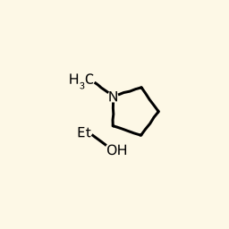 CCO.CN1CCCC1